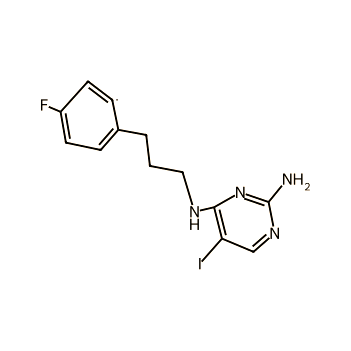 Nc1ncc(I)c(NCCCc2[c]cc(F)cc2)n1